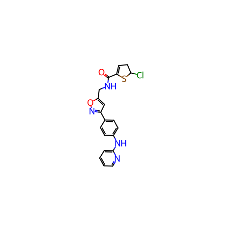 O=C(NCc1cc(-c2ccc(Nc3ccccn3)cc2)no1)C1=CCC(Cl)S1